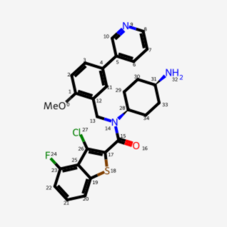 COc1ccc(-c2cccnc2)cc1CN(C(=O)c1sc2cccc(F)c2c1Cl)[C@H]1CC[C@@H](N)CC1